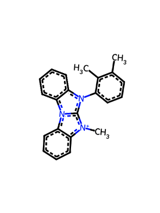 Cc1cccc(-n2c3ccccc3n3c4ccccc4[n+](C)c23)c1C